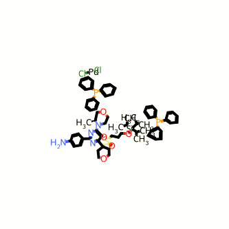 CC(C)[Si](OCCCS(=O)(=O)C1(c2cc(N3CCOC[C@@H]3C)nc(-c3ccc(N)cc3)n2)CCOCC1)(C(C)C)C(C)C.[Cl][Pd][Cl].c1ccc(P(c2ccccc2)c2ccccc2)cc1.c1ccc(P(c2ccccc2)c2ccccc2)cc1